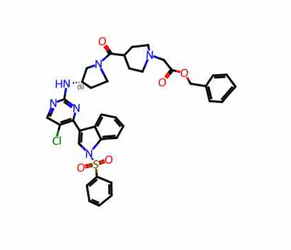 O=C(CN1CCC(C(=O)N2CC[C@H](Nc3ncc(Cl)c(-c4cn(S(=O)(=O)c5ccccc5)c5ccccc45)n3)C2)CC1)OCc1ccccc1